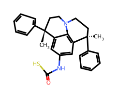 C[C@@]1(c2ccccc2)CCN2CC[C@@](C)(c3ccccc3)c3cc(NC(=O)S)cc1c32